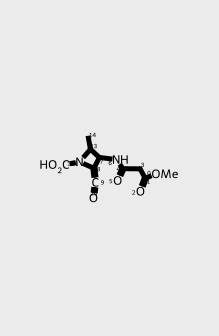 COC(=O)CC(=O)NC1C(=C=O)N(C(=O)O)C1C